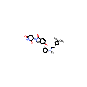 CCN(CC[C@H]1C[C@](C)(C#N)C1)[C@H]1CCC[C@@H]1Oc1ccc2c(c1)CN(C1CCC(=O)NC1=O)C2=O